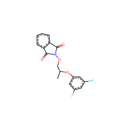 CC(CON1C(=O)c2ccccc2C1=O)Oc1cc(F)cc(F)c1